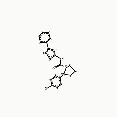 O=C(Nc1n[nH]c(-c2ccccc2)n1)[C@@H]1CCCN1c1ccc(Cl)cc1